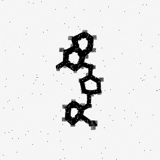 Cc1cc(OC2CCN(Cc3ccccc3C#N)CC2)c2ccccc2n1